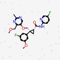 COCc1nc(C)ncc1OC[C@@]1(c2cc(F)cc(OC)c2)C[C@H]1C(=O)Nc1ccc(F)cn1